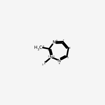 CC1=[N+](I)N=CC=C=N1